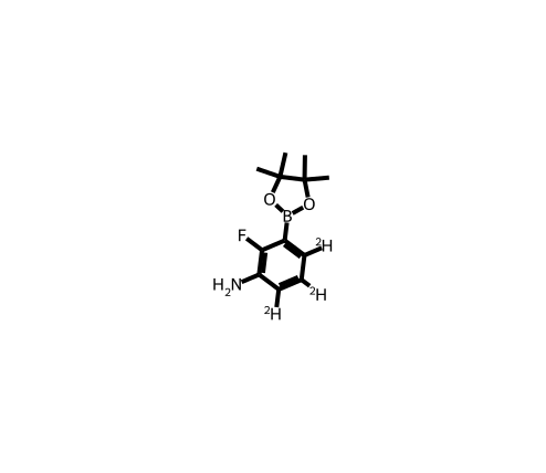 [2H]c1c([2H])c(N)c(F)c(B2OC(C)(C)C(C)(C)O2)c1[2H]